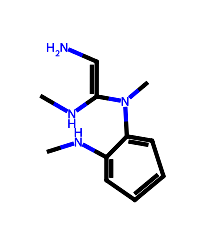 CN/C(=C\N)N(C)c1ccccc1NC